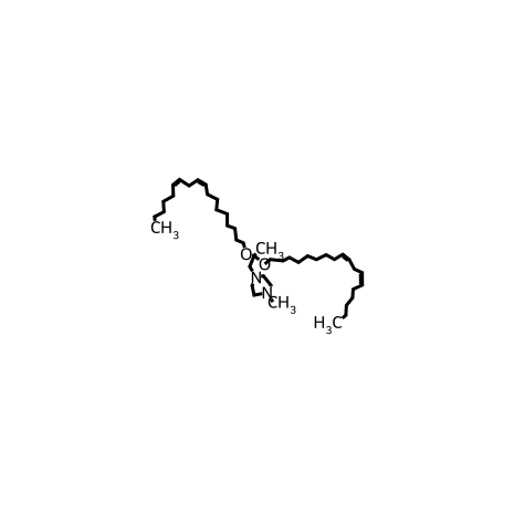 CCCCC/C=C\C/C=C\CCCCCCCCOC(C)(CN1CCN(C)CC1)OCCCCCCCC/C=C\C/C=C\CCCCC